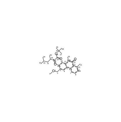 COCc1cc2c3ccnc(C)c3c(=O)n(C)c2cc1ON(C(=O)OC(C)(C)C)C(C)CC(C)C